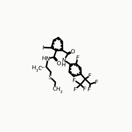 CCSC[C@H](C)NC(=O)c1c(I)cccc1C(=O)Nc1ccc(C(F)(C(F)F)C(F)(F)F)cc1F